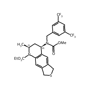 CCOC(=O)N1c2cc3c(cc2[C@H](N(Cc2cc(C(F)(F)F)cc(C(F)(F)F)c2)C(=O)OC)C[C@@H]1C)CSC3